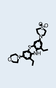 CCc1cc(N2CCOCC2)cc2c1Nc1c(CC)cc(N3CCS(=O)(=O)CC3)cc1S2